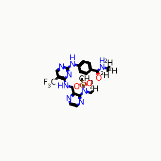 [2H]CN(c1nccnc1CNc1nc(Nc2ccc(C(=O)NC([2H])([2H])[2H])cc2)ncc1C(F)(F)F)S(C)(=O)=O